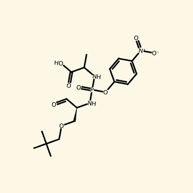 CC(NP(=O)(N[C@H](C=O)COCC(C)(C)C)Oc1ccc([N+](=O)[O-])cc1)C(=O)O